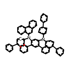 c1ccc(-c2ccc(N(c3ccc(-c4ccccc4)cc3)c3cc(N(c4ccc(-c5ccccc5)cc4)c4cc5ccccc5c5ccccc45)c(-c4ccccc4)cc3-c3ccccc3)cc2)cc1